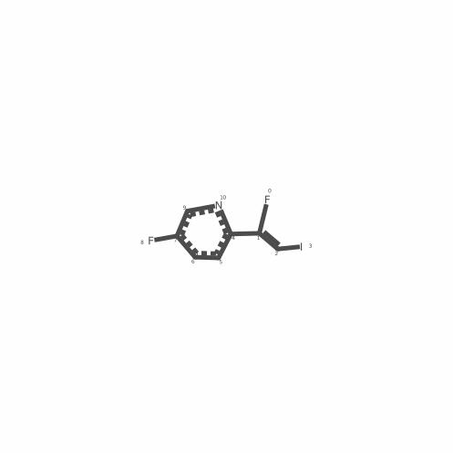 FC(=CI)c1ccc(F)cn1